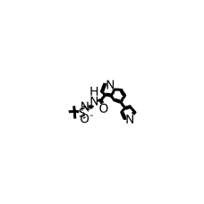 CC(C)(C)[S+]([O-])N=CNC(=O)c1ccnc2ccc(-c3ccncc3)cc12